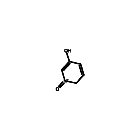 O=[N+]1C=C(O)C=CC1